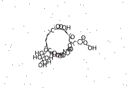 COC1C(=O)[C@H](C)C[C@H](C)/C=C/C=C/C=C(\C)[C@H](OCC(O)C(O)C(O)C(O)CO)C[C@@H]2CC[C@@H](C)[C@@](O)(O2)C(=O)C(=O)N2CCCC[C@H]2C(=O)O[C@H]([C@H](C)C[C@@H]2CC[C@@H](OCCO)[C@H](OC)C2)CC(=O)[C@H](C)/C=C(\C)[C@H]1O